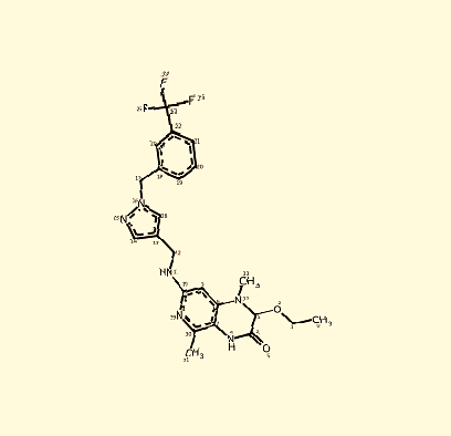 CCOC1C(=O)Nc2c(cc(NCc3cnn(Cc4cccc(C(F)(F)F)c4)c3)nc2C)N1C